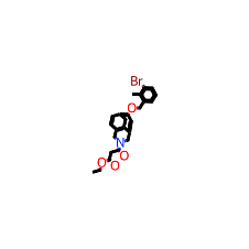 CCOC(=O)CC(=O)N1CC2=CC(OCc3cccc(Br)c3C)=C3C=CC(=C2C3)C1